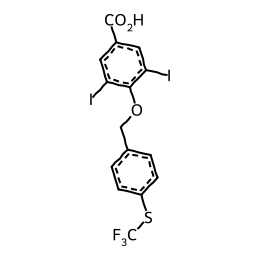 O=C(O)c1cc(I)c(OCc2ccc(SC(F)(F)F)cc2)c(I)c1